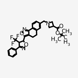 CC(C)(C)OC(=O)C1CN(Cc2ccc3c(c2)CCc2c-3noc2C2ON=C(c3ccccc3)C2C(F)(F)F)C1